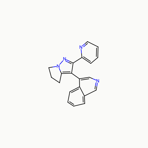 c1ccc(-c2nn3c(c2-c2cncc4ccccc24)CCC3)nc1